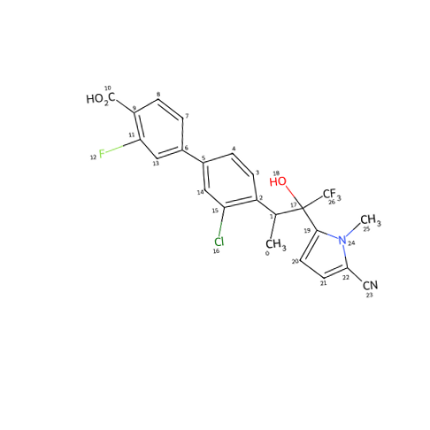 CC(c1ccc(-c2ccc(C(=O)O)c(F)c2)cc1Cl)C(O)(c1ccc(C#N)n1C)C(F)(F)F